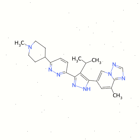 Cc1cc(-c2[nH]nc(-c3ccc(C4CCN(C)CC4)nn3)c2C(C)C)cn2ncnc12